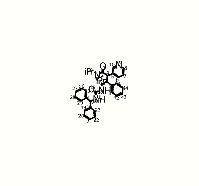 CC(C)N(C(=O)C(c1cccnc1)C(CNC(=O)NC(c1ccccc1)c1ccccc1)c1ccccc1)C(C)C